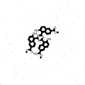 COC(=O)c1ccc2c(-c3nc(-c4c(O)ccc5cc(C(=O)OC)ccc45)nc(-c4c(O)ccc5cc(C(O)OC)ccc45)n3)c(O)ccc2c1